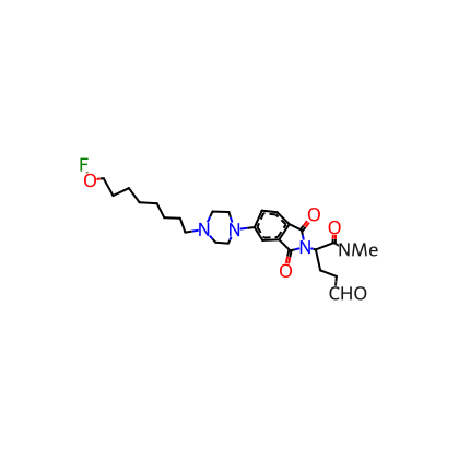 CNC(=O)C(CCC=O)N1C(=O)c2ccc(N3CCN(CCCCCCCCOF)CC3)cc2C1=O